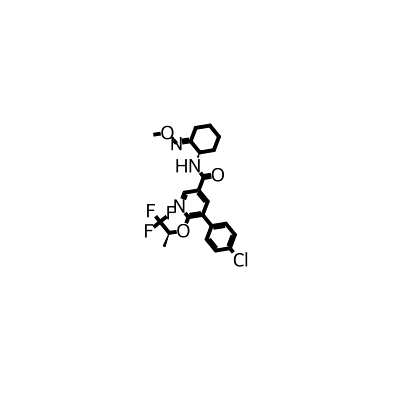 CO/N=C1\CCCC[C@@H]1NC(=O)c1cnc(O[C@@H](C)C(F)(F)F)c(-c2ccc(Cl)cc2)c1